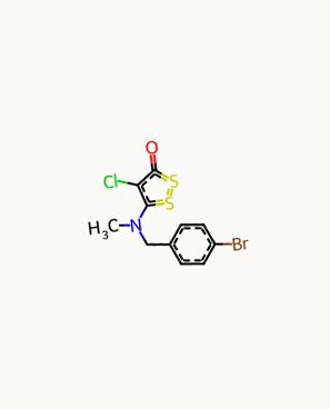 CN(Cc1ccc(Br)cc1)c1ssc(=O)c1Cl